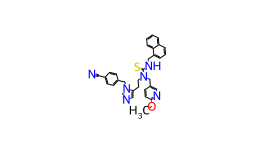 COc1ccc(CN(CCc2cncn2Cc2ccc(C#N)cc2)C(=S)NCc2cccc3ccccc23)cn1